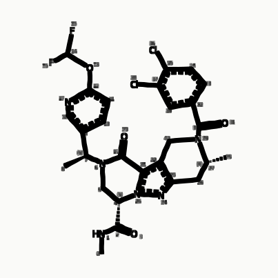 CNC(=O)[C@@H]1CN([C@@H](C)c2ccc(OC(F)F)nc2)C(=O)c2c3c(nn21)C[C@@H](C)N(C(=O)c1ccc(Cl)c(Cl)c1)C3